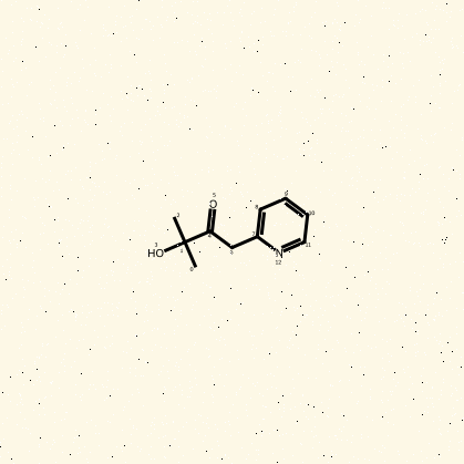 CC(C)(O)C(=O)Cc1ccccn1